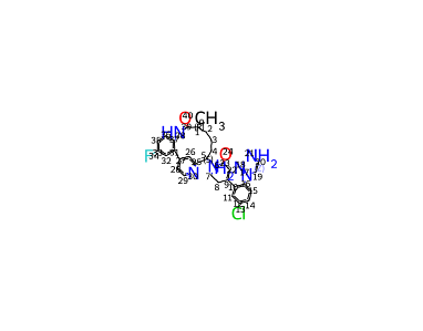 C[C@@H]1CCC[C@H](N2CCC(c3cc(Cl)ccc3N(N)/C=C\N)=CC2=O)c2cc(ccn2)-c2cc(F)ccc2NC1=O